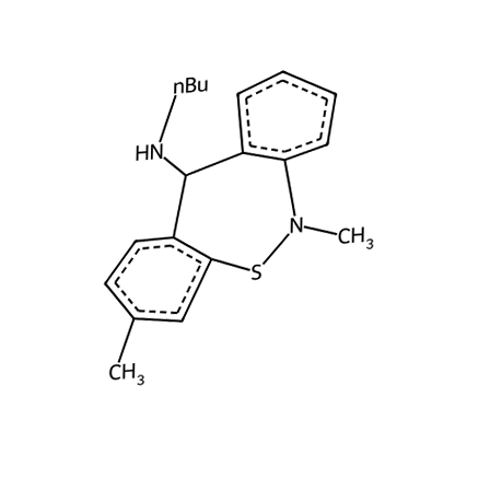 CCCCNC1c2ccc(C)cc2SN(C)c2ccccc21